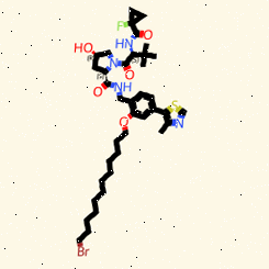 Cc1ncsc1-c1ccc(CNC(=O)[C@@H]2C[C@@H](O)CN2C(=O)[C@@H](NC(=O)C2(F)CC2)C(C)(C)C)c(OCCCCCCCCCCCCBr)c1